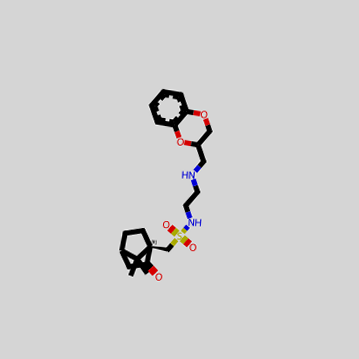 CC1(C)C2CC[C@]1(CS(=O)(=O)NCCNCC1COc3ccccc3O1)C(=O)C2